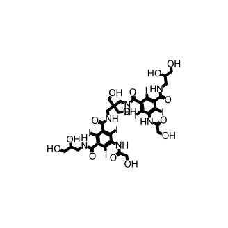 O=C(CO)Nc1c(I)c(C(=O)NCC(O)CO)c(I)c(C(=O)NCC(CO)(CO)CNC(=O)c2c(I)c(NC(=O)CO)c(I)c(C(=O)NCC(O)CO)c2I)c1I